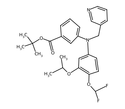 CC(C)Oc1cc(N(Cc2cccnc2)c2cccc(C(=O)OC(C)(C)C)c2)ccc1OC(F)F